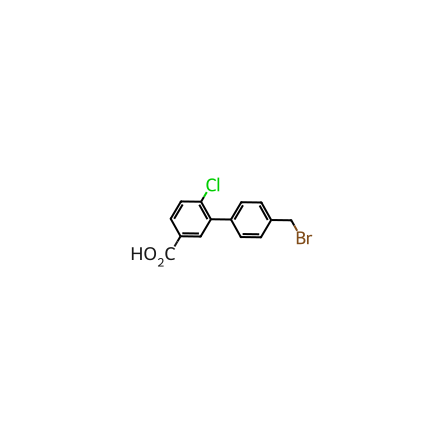 O=C(O)c1ccc(Cl)c(-c2ccc(CBr)cc2)c1